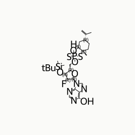 C=C(C)[C@@H]1CC[C@]2(C)SP(=S)(OC[C@H]3O[C@@H](n4cnc5c(O)ncnc54)[C@H](F)[C@@H]3O[Si](C)(C)C(C)(C)C)O[C@H]2C1